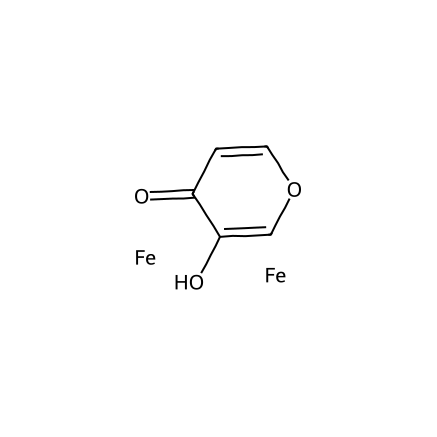 O=c1ccocc1O.[Fe].[Fe]